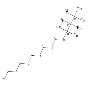 [CH2]CCCCCCCCCCC(F)(F)C(F)(F)C(F)(F)F